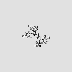 CCS(=O)(=O)NCC(NC(=O)Cn1nc(-c2ccc(Cl)cc2)n(C[C@H](O)C(F)(F)F)c1=O)c1cccc(Cl)c1Cl